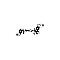 O=C(O)c1ccc2c(c1)nc(NCCOCCCCNCc1cccc(CO)c1)c1ccncc12